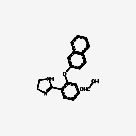 O=CO.c1ccc(C2=NCCN2)c(Oc2ccc3ccccc3c2)c1